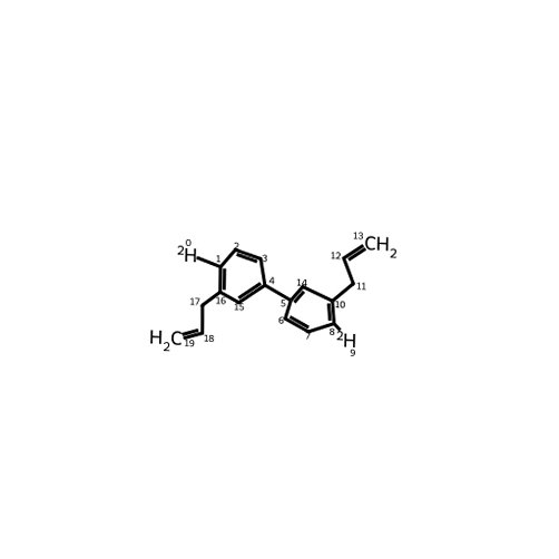 [2H]c1ccc(-c2ccc([2H])c(CC=C)c2)cc1CC=C